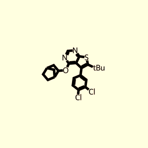 CC(C)(C)c1sc2ncnc(OC3CC4CCC3C4)c2c1-c1ccc(Cl)c(Cl)c1